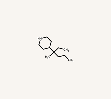 CCCC(C)(CC)C1CCNCC1